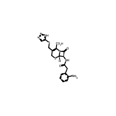 Nc1ccccc1CC(=O)NC1C(=O)N2C(C(=O)O)=C(CSc3cnn[nH]3)CS[C@@H]12